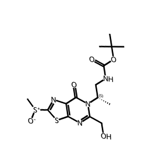 C[C@@H](CNC(=O)OC(C)(C)C)n1c(CO)nc2sc([S+](C)[O-])nc2c1=O